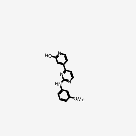 COc1cccc(Nc2nccc(-c3ccnc(O)c3)n2)c1